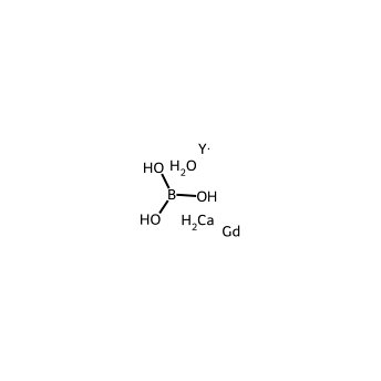 O.OB(O)O.[CaH2].[Gd].[Y]